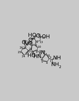 N=C(N)c1ccc2[nH]c(-c3cc(C(CC(=O)O)C(=O)O)cc(-c4ccccc4[N+](=O)[O-])c3O)nc2c1